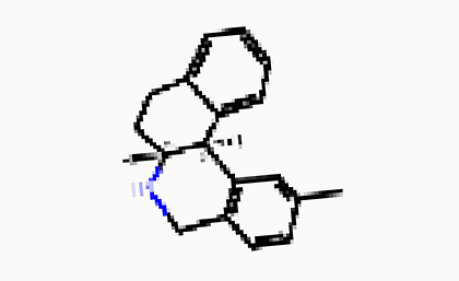 Cc1ccc2c(c1)[C@@H]1c3ccccc3CC[C@H]1NC2